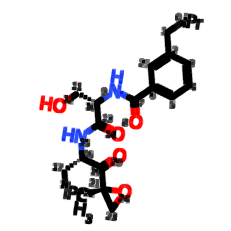 CC(C)Cc1cccc(C(=O)N[C@@H](CO)C(=O)N[C@@H](CC(C)C)C(=O)[C@@]2(C)CO2)c1